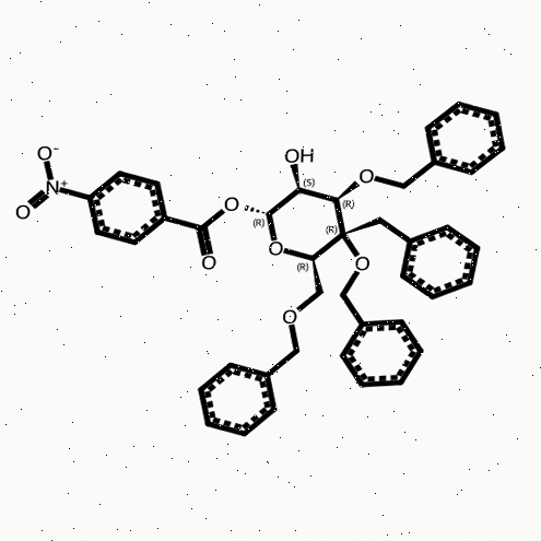 O=C(O[C@H]1O[C@H](COCc2ccccc2)[C@@](Cc2ccccc2)(OCc2ccccc2)[C@H](OCc2ccccc2)[C@@H]1O)c1ccc([N+](=O)[O-])cc1